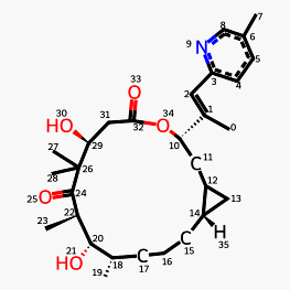 C/C(=C\c1ccc(C)cn1)[C@@H]1CC2C[C@@H]2CCC[C@H](C)[C@H](O)[C@@H](C)C(=O)C(C)(C)[C@@H](O)CC(=O)O1